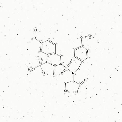 CCC(C(=O)O)N(Cc1ccc(OC)cc1)S(=O)(=O)N(Cc1ccc(OC)cc1)C(=O)OC(C)(C)C